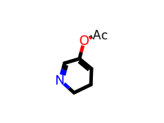 CC(=O)OC1=CCCN=C1